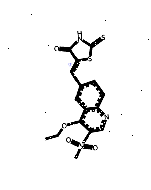 CCOc1c(S(C)(=O)=O)cnc2ccc(/C=C3\SC(=S)NC3=O)cc12